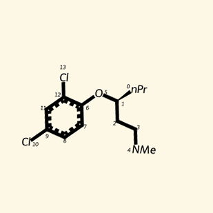 CCC[C@@H](CCNC)Oc1ccc(Cl)cc1Cl